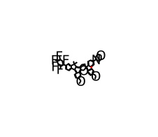 COc1ccc(C2(c3ccc(N4CCOCC4)cc3)C=Cc3c4c(c5ccc(OC)cc5c3O2)-c2ccc(-c3c(F)c(F)c(F)c(F)c3F)cc2C4(C)C)cc1